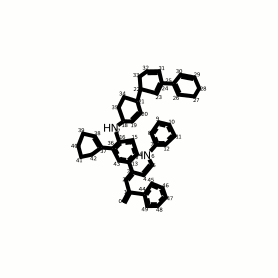 C=C(/C=C(\C=C/Nc1ccccc1)c1ccc(NC2C=CC(C3C=C(C4=CCCC=C4)C=CC3)CC2)c(C2=CCCCC2)c1)c1ccccc1